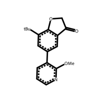 COc1ncccc1-c1cc2c(c(C(C)(C)C)c1)OCC2=O